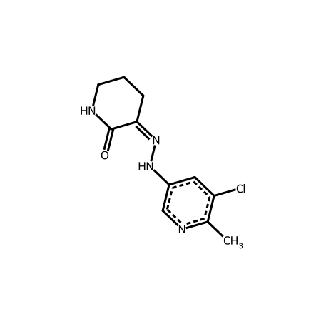 Cc1ncc(N/N=C2/CCCNC2=O)cc1Cl